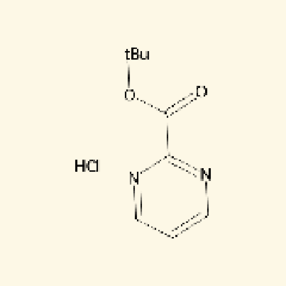 CC(C)(C)OC(=O)c1ncccn1.Cl